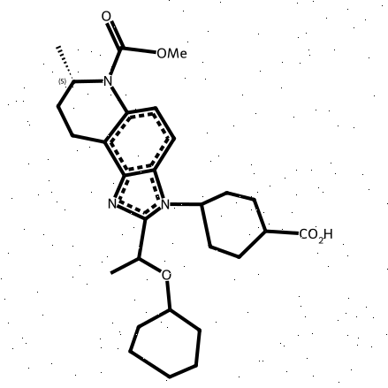 COC(=O)N1c2ccc3c(nc(C(C)OC4CCCCC4)n3C3CCC(C(=O)O)CC3)c2CC[C@@H]1C